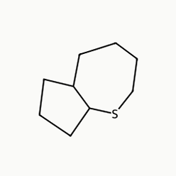 C1CCC2CCCC2SC1